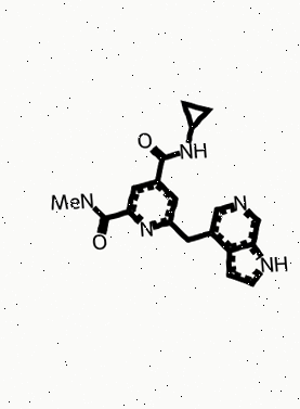 CNC(=O)c1cc(C(=O)NC2CC2)cc(Cc2cncc3[nH]ccc23)n1